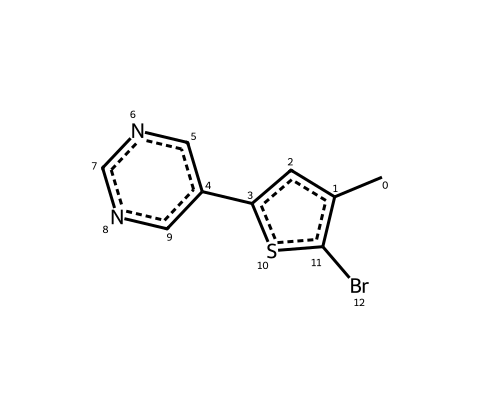 Cc1cc(-c2cncnc2)sc1Br